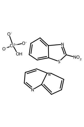 O=[N+]([O-])c1nc2ccccc2s1.[O-][Cl+3]([O-])([O-])O.c1ccc2ncccc2c1